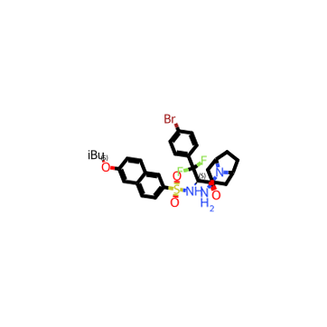 CC[C@H](C)Oc1ccc2cc(S(=O)(=O)N[C@@H](C(=O)N3C4CCC3CC(N)C4)C(F)(F)c3ccc(Br)cc3)ccc2c1